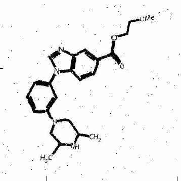 COCCOC(=O)c1ccc2c(c1)ncn2-c1cccc(N2CC(C)NC(C)C2)c1